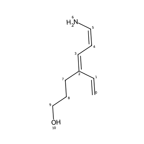 C=C/C(=C\C=C/N)CCCO